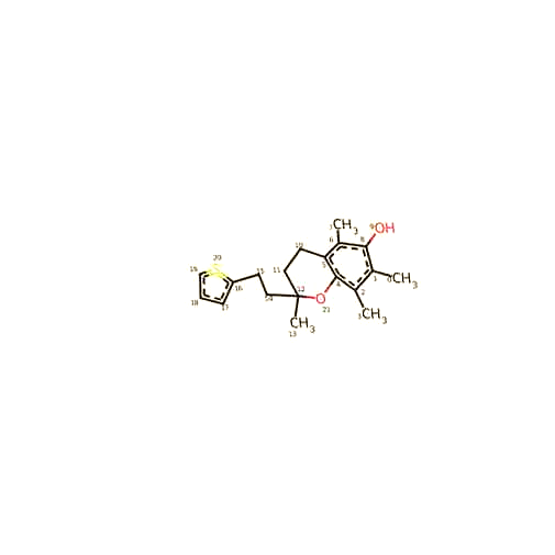 Cc1c(C)c2c(c(C)c1O)CCC(C)(CCc1cccs1)O2